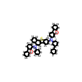 c1ccc(-c2cccc(N(c3ccc4c(c3)oc3ccccc34)c3ccc4c(c3)sc3c5ccccc5c(N(c5ccccc5)c5cccc6c5oc5ccccc56)cc43)c2)cc1